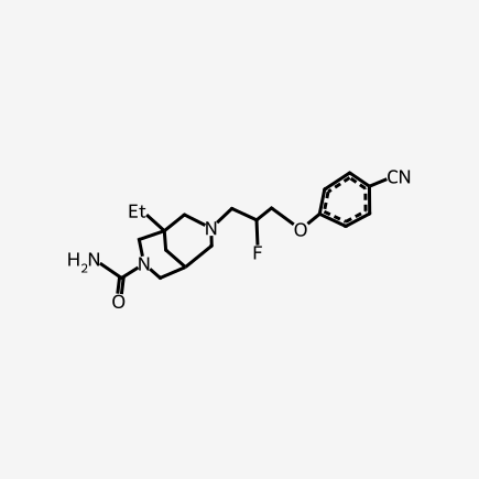 CCC12CC(CN(CC(F)COc3ccc(C#N)cc3)C1)CN(C(N)=O)C2